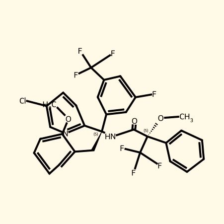 COc1ccccc1C[C@](NC(=O)[C@@](OC)(c1ccccc1)C(F)(F)F)(c1cc(F)cc(C(F)(F)F)c1)c1ccc(Cl)cn1